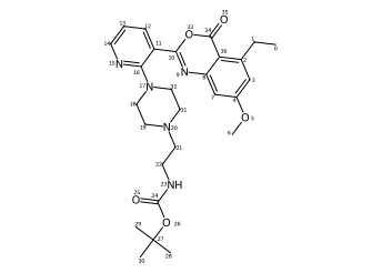 CCc1cc(OC)cc2nc(-c3cccnc3N3CCN(CCNC(=O)OC(C)(C)C)CC3)oc(=O)c12